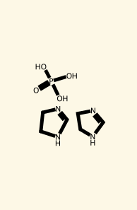 C1=NCCN1.C1=NCCN1.O=P(O)(O)O